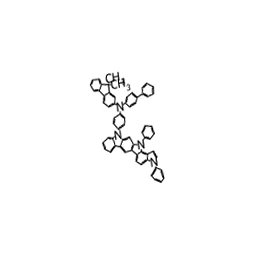 CC1(C)c2ccccc2-c2ccc(N(c3ccc(-c4ccccc4)cc3)c3ccc(-n4c5ccccc5c5cc6c7ccc8c(ccn8-c8ccccc8)c7n(-c7ccccc7)c6cc54)cc3)cc21